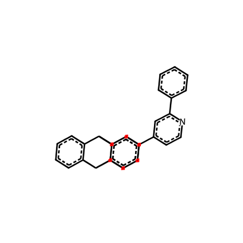 c1ccc(-c2cc(-c3ccc4c(c3)C3c5ccccc5C4c4ccccc43)ccn2)cc1